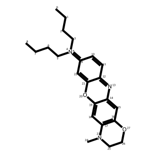 CCCC[N+](CCCC)=c1ccc2nc3cc4c(cc3oc-2c1)N(C)CCO4